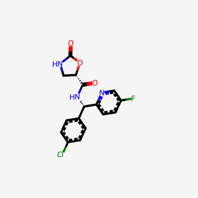 O=C1NC[C@@H](C(=O)N[C@@H](c2ccc(Cl)cc2)c2ccc(F)cn2)O1